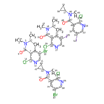 CC(C)N(C)C(=O)c1cc(Br)cnc1Cl.CC(C)N(C)C(=O)c1cc(I)cnc1Cl.CN(C(=O)c1cc(Br)cnc1Cl)C1CC1.CN(C(=O)c1cc(I)cnc1Cl)C1CC1